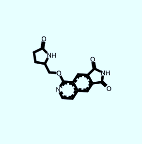 O=C1CCC(COc2nccc3cc4c(cc23)C(=O)NC4=O)N1